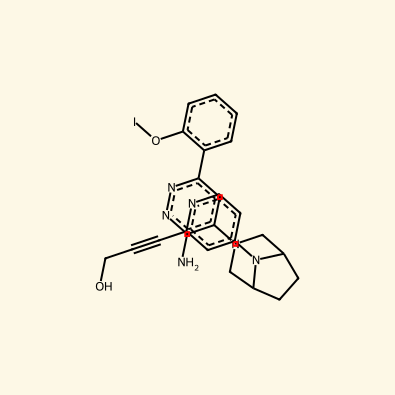 Nc1nnc(-c2ccccc2OI)cc1N1CC2CCC(C1)N2c1ccnc(C#CCO)c1